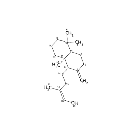 C=C1CCC2C(C)(C)CCC[C@]2(C)[C@H]1CC/C(C)=C\O